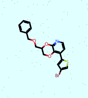 Brc1csc(-c2ccnc3c2OCC(COCc2ccccc2)O3)c1